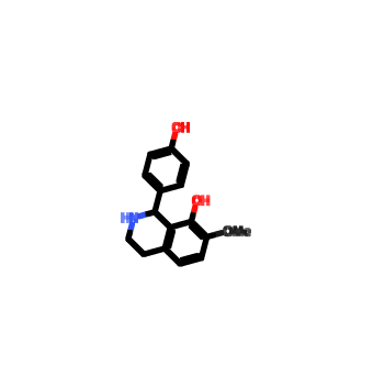 COc1ccc2c(c1O)C(c1ccc(O)cc1)NCC2